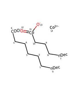 CCCCCCCCCCCCCCCC(=O)[O-].CCCCCCCCCCCC[CH2][Co](=[O])[O-].[Co+2]